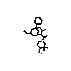 CC1CC2(c3ccccc3)CC(CCl)CC(C2)C1C(=S)N1CC[C@H](N)C(C)(C)C1